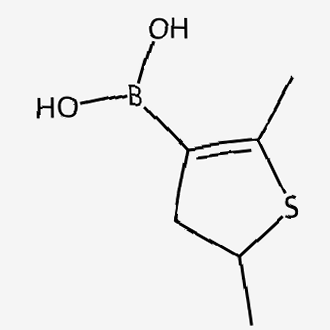 CC1=C(B(O)O)CC(C)S1